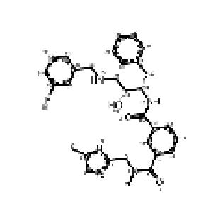 Cc1csc(CN(C)C(=O)c2cccc(C(=O)N[C@@H](Cc3ccccc3)[C@H](O)CNCc3cncc(F)c3)c2)n1